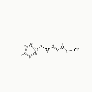 ClCOC=COCc1ccccc1